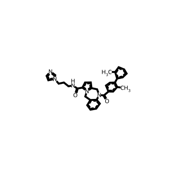 Cc1ccccc1-c1ccc(C(=O)N2Cc3ccc(C(=O)NCCCn4ccnc4)n3Cc3ccccc32)cc1C